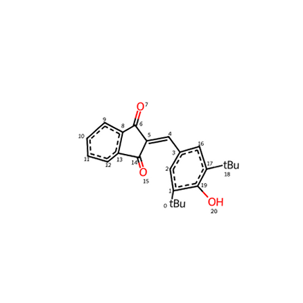 CC(C)(C)c1cc(C=C2C(=O)c3ccccc3C2=O)cc(C(C)(C)C)c1O